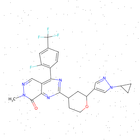 Cn1ncc2c(-c3ccc(C(F)(F)F)cc3F)nc(C3CCOC(c4cnn(C5CC5)c4)C3)nc2c1=O